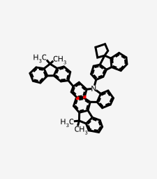 CC1(C)c2ccccc2-c2cc(-c3cccc(N(c4ccc5c(c4)-c4ccccc4C54CCCC4)c4ccccc4-c4cccc5c4-c4ccccc4C5(C)C)c3)ccc21